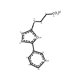 O=C(O)CCSc1nnc(-c2cccnc2)o1